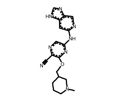 CN1CCCC(COc2nc(Nc3cc4[nH]cnc4cn3)cnc2C#N)C1